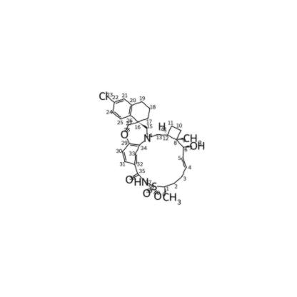 C[C@@H]1CC/C=C/[C@H](O)[C@@]2(C)CC[C@@H]2CN2C[C@@]3(CCCc4cc(Cl)ccc43)COc3ccc(cc32)C(=O)NS1(=O)=O